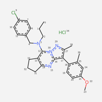 CCCN(Cc1ccc(Cl)cc1)c1c2c(nc3c(-c4ccc(OC)cc4C)c(C)nn13)CCC2.Cl